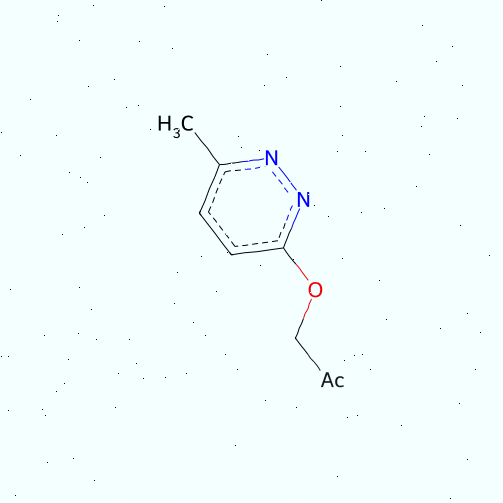 CC(=O)COc1ccc(C)nn1